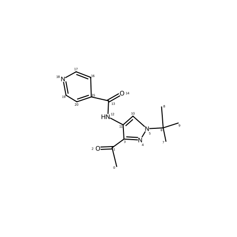 CC(=O)c1nn(C(C)(C)C)cc1NC(=O)c1ccncc1